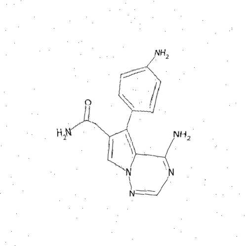 NC(=O)c1cn2ncnc(N)c2c1-c1ccc(N)cc1